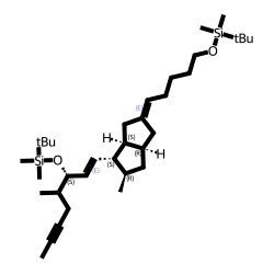 CC#CCC(C)[C@@H](/C=C/[C@@H]1[C@H]2C/C(=C/CCCCO[Si](C)(C)C(C)(C)C)C[C@H]2C[C@H]1C)O[Si](C)(C)C(C)(C)C